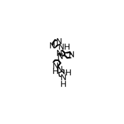 c1cnc(Nc2nn(-c3ccnc(N4C[C@@H]5C[C@H]4CN5)c3)c3ccncc23)cn1